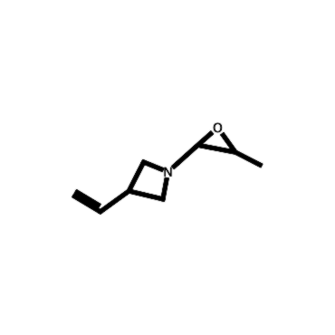 C=CC1CN(C2OC2C)C1